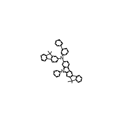 CC1(C)c2ccccc2-c2ccc(N(c3cccc(-c4ccccc4)c3)c3ccc4c5cc6c(cc5n(-c5ccccc5)c4c3)C(C)(C)c3ccccc3-6)cc21